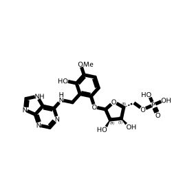 COc1ccc(OC2O[C@H](COP(=O)(O)O)[C@@H](O)[C@H]2O)c(CNc2ncnc3nc[nH]c23)c1O